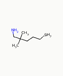 CC(C)(CN)CCC[SiH3]